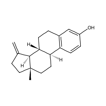 C=C1CC[C@@]2(C)CC[C@@H]3c4ccc(O)cc4CC[C@H]3[C@H]12